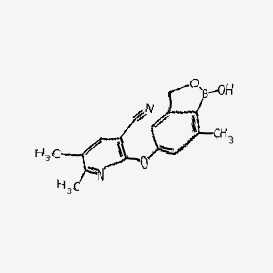 Cc1cc(C#N)c(Oc2cc(C)c3c(c2)COB3O)nc1C